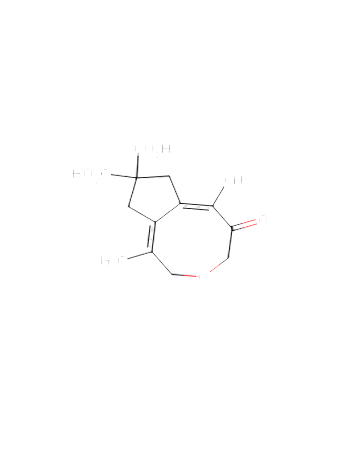 C/C1=C2\CC(C(=O)O)(C(=O)O)C\C2=C(/C)C(=O)COC1